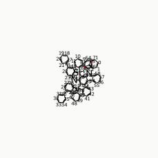 c1ccc(CC[Si]2(c3ccccc3)c3cc(-c4ccccc4)ccc3N3c4ccc(-c5ccccc5)cc4[Si](c4ccccc4)(c4ccccc4)c4cc5c6ccccc6n(-c6ccccc6)c5c2c43)cc1